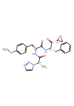 COc1ccc(C[C@H](NC(=O)[C@H](C)n2ccnn2)C(=O)N[C@@H](Cc2ccccc2)C(=O)[C@H]2CO2)cc1